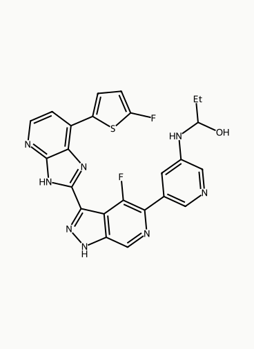 CCC(O)Nc1cncc(-c2ncc3[nH]nc(-c4nc5c(-c6ccc(F)s6)ccnc5[nH]4)c3c2F)c1